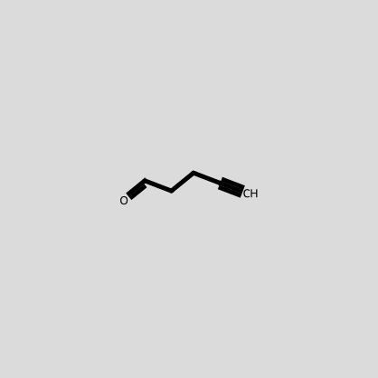 C#CCC[C]=O